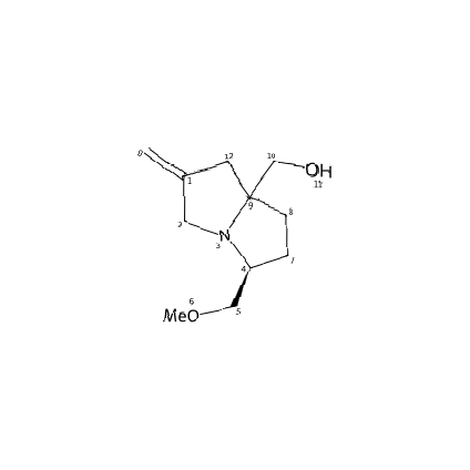 C=C1CN2[C@H](COC)CCC2(CO)C1